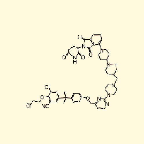 CC(C)(c1ccc(OCc2ccnc(N3CCN(CC4CCN(C5CCN(c6cccc7c6C(=O)N(C6CCC(=O)NC6=O)C7=O)CC5)CC4)CC3)n2)cc1)c1cc(Cl)c(OCCCl)c(C#N)c1